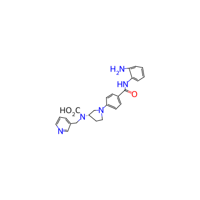 Nc1ccccc1NC(=O)c1ccc(N2CC[C@H](N(Cc3cccnc3)C(=O)O)C2)cc1